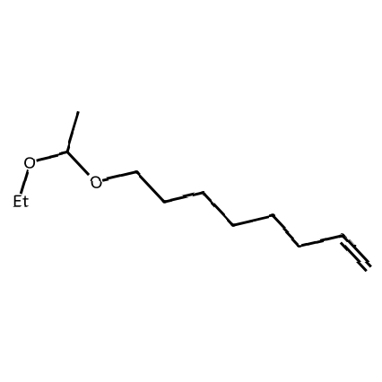 C=CCCCCCCOC(C)OCC